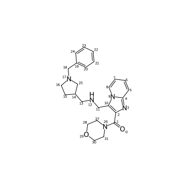 O=C(c1nc2ccccn2c1CNCC1CCN(Cc2ccccc2)C1)N1CCOCC1